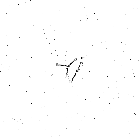 C[CH2][Al+][CH2]C.C[CH2][Al]([CH2]C)[CH2]C.[H-]